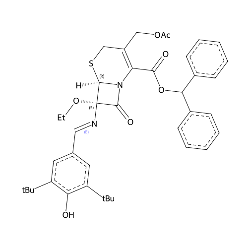 CCO[C@@]1(/N=C/c2cc(C(C)(C)C)c(O)c(C(C)(C)C)c2)C(=O)N2C(C(=O)OC(c3ccccc3)c3ccccc3)=C(COC(C)=O)CS[C@@H]21